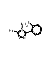 Nn1c(S)nnc1-c1ccccc1F